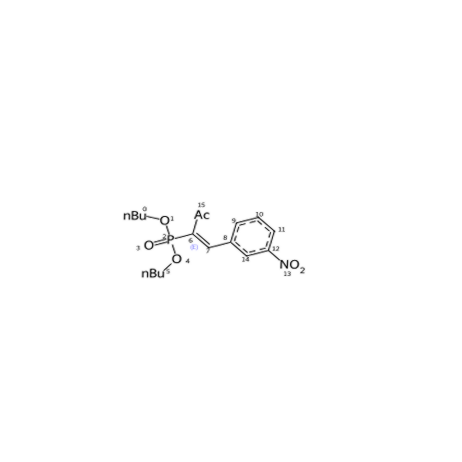 CCCCOP(=O)(OCCCC)/C(=C/c1cccc([N+](=O)[O-])c1)C(C)=O